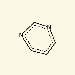 [c]1ncccn1